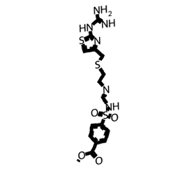 COC(=O)c1ccc(S(=O)(=O)NC=NCCSCc2csc(NC(=N)N)n2)cc1